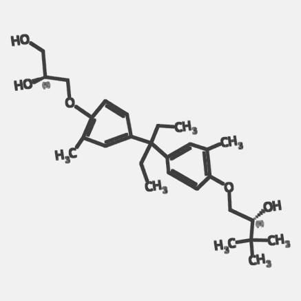 CCC(CC)(c1ccc(OC[C@@H](O)CO)c(C)c1)c1ccc(OC[C@H](O)C(C)(C)C)c(C)c1